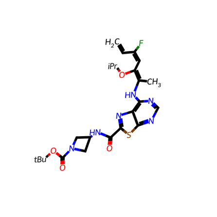 C=C/C(F)=C\C(OC(C)C)=C(/C)Nc1ncnc2sc(C(=O)NC3CN(C(=O)OC(C)(C)C)C3)nc12